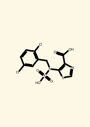 O=C(O)c1ncsc1N(Cc1cc(Cl)ccc1Cl)S(=O)(=O)O